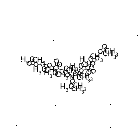 CC(C)(C)c1ccc(N(c2ccc3c(c2)C(C)(C)c2cc4c(cc2-3)C(C)(C)c2cc(-c3ccc5c(c3)C(C)(C)c3cc(-c6ccc7c(c6)C(C)(C)c6ccccc6-7)ccc3-5)c3c(oc5ccccc53)c2-4)c2ccc3c(c2)C(C)(C)c2cc4c(cc2-3)C(C)(C)c2cc(-c3ccc5c(c3)C(C)(C)c3cc(-c6ccc7c(c6)C(C)(C)c6ccccc6-7)ccc3-5)c3c(oc5ccccc53)c2-4)cc1